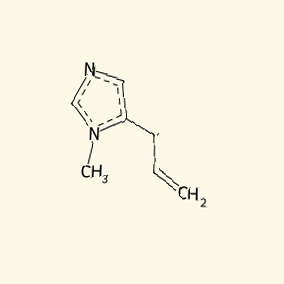 C=C[CH]c1cncn1C